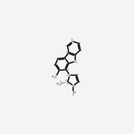 Cc1ccc2c(oc3ccncc32)c1N1C=CN(C(C)C)[C@@H]1C